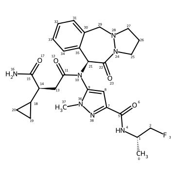 C[C@@H](CF)NC(=O)c1cc(N(C(=O)C[C@H](C(N)=O)C2CC2)[C@@H]2C(=O)N3CCCN3Cc3ccccc32)n(C)n1